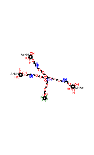 CC(=O)N[C@@H]1[C@@H](O)[C@@H](O)[C@@H](COCCc2cn(CCOCCOCCOCC(COCCOCCOCCn3cc(CCOC[C@H]4C[C@@H](O)[C@H](NC(C)=O)[C@@H](O)[C@H]4O)nn3)(COCCOCCOCCn3cc(CCOC[C@H]4C[C@@H](O)[C@H](NC(C)=O)[C@@H](O)[C@H]4O)nn3)NC(=O)CCOCCOCCC(=O)Oc3c(F)c(F)c(F)c(F)c3F)nn2)C[C@H]1O